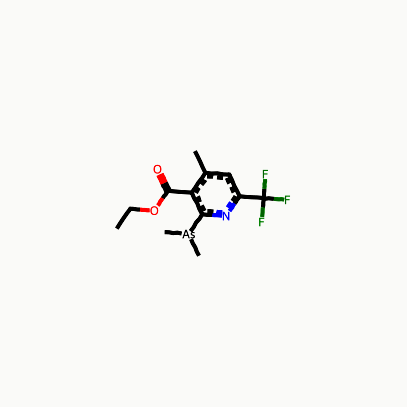 CCOC(=O)c1c(C)cc(C(F)(F)F)nc1[As](C)C